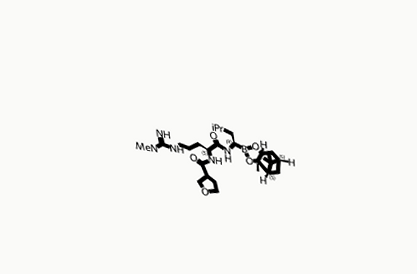 CNC(=N)NCCC[C@H](NC(=O)C1CCOC1)C(=O)N[C@@H](CC(C)C)B1O[C@@H]2C[C@@H]3C[C@@H](C3(C)C)[C@]2(C)O1